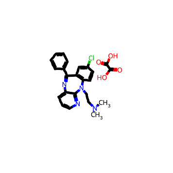 CN(C)CCN1c2ccc(Cl)cc2C(c2ccccc2)=Nc2cccnc21.O=C(O)C(=O)O